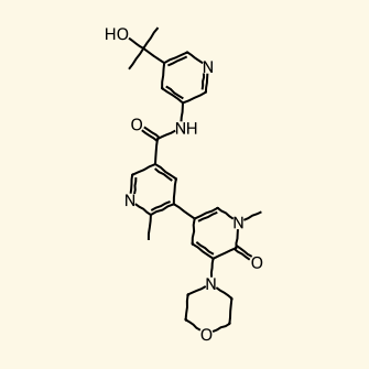 Cc1ncc(C(=O)Nc2cncc(C(C)(C)O)c2)cc1-c1cc(N2CCOCC2)c(=O)n(C)c1